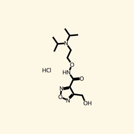 CC(C)N(CCONC(=O)c1nonc1CO)C(C)C.Cl